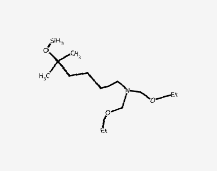 CCOCN(CCCCC(C)(C)O[SiH3])COCC